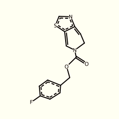 O=C(OCc1ccc(F)cc1)N1C=c2scnc2=CC1